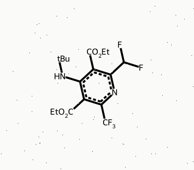 CCOC(=O)c1c(C(F)F)nc(C(F)(F)F)c(C(=O)OCC)c1NC(C)(C)C